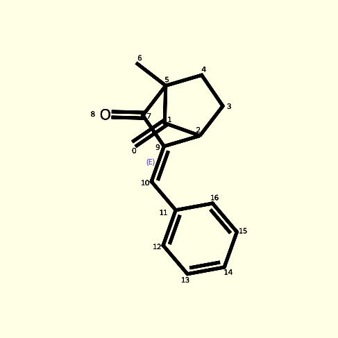 C=C1C2CCC1(C)C(=O)/C2=C/c1ccccc1